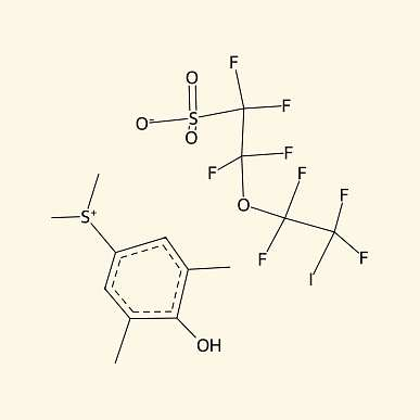 Cc1cc([S+](C)C)cc(C)c1O.O=S(=O)([O-])C(F)(F)C(F)(F)OC(F)(F)C(F)(F)I